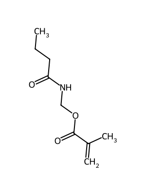 C=C(C)C(=O)OCNC(=O)CCC